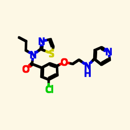 CCCN(C(=O)c1cc(Cl)cc(OCCNc2ccncc2)c1)c1nccs1